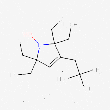 CCC1(CC)C=C(CC(C)(C)C)C(CC)(CC)N1O